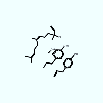 C=CC(C)(O)CCC=C(C)CCC=C(C)C.C=CCc1ccc(O)cc1.CC=Cc1ccc(OC)cc1.COC